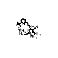 C/C=C1\N=C(NCCc2cccc(C3(COC)CC3)n2)C(C#N)=C(N)N1N